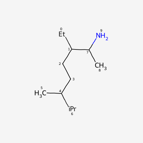 CCC(CCC(C)C(C)C)C(C)N